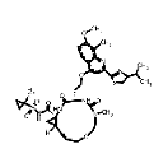 COc1ccc2c(OCC[C@@H]3NC(=O)N(C)CCCC/C=C\[C@@H]4C[C@@]4(C(=O)NS(=O)(=O)C4(C)CC4)NC3=O)cc(C3=NC(C(C)C)CS3)nc2c1C